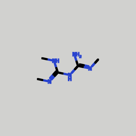 C/N=C(\N)N/C(=N/C)NC